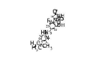 CC(C)(C)c1ccc(NCc2cc(O)c(N3CC(=O)NS3(=O)=O)c(F)c2)nc1